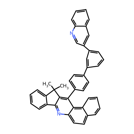 CC1(C)c2ccccc2-c2nc3ccc4ccccc4c3c(-c3ccc(-c4cccc(-c5cnc6ccccc6c5)c4)cc3)c21